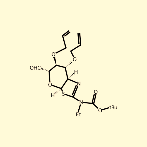 C=CCO[C@@H]1[C@H]2N=C(N(CC)C(=O)OC(C)(C)C)S[C@H]2O[C@H](C=O)[C@H]1OCC=C